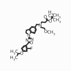 COCCN(CCC(=O)OC(C)(C)C)Cc1ccc2c(c1)CCN2c1noc(-c2ccc(OC(C)C)cc2F)n1